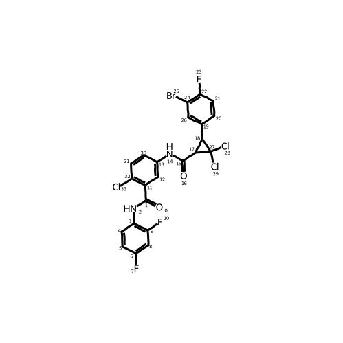 O=C(Nc1ccc(F)cc1F)c1cc(NC(=O)C2C(c3ccc(F)c(Br)c3)C2(Cl)Cl)ccc1Cl